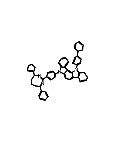 C1=CCC(c2ccc(-n3c4c(c5ccc6c(c7ccccc7n6-c6ccc(C7=N/C(C8=CCCC8)CCC/C(c8ccccc8)=N\7)cc6)c53)C=CCC4)cc2)C=C1